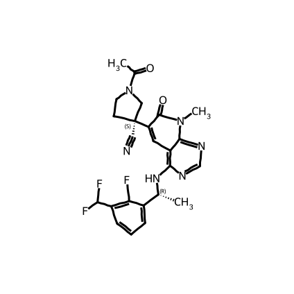 CC(=O)N1CC[C@](C#N)(c2cc3c(N[C@H](C)c4cccc(C(F)F)c4F)ncnc3n(C)c2=O)C1